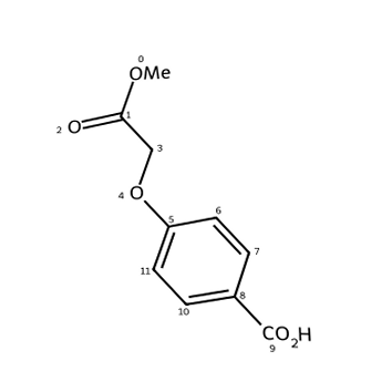 COC(=O)COc1ccc(C(=O)O)cc1